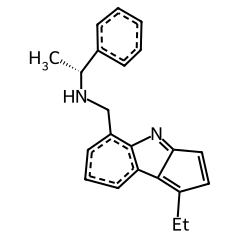 CCC1=C2C(=Nc3c(CN[C@H](C)c4ccccc4)cccc32)C=C1